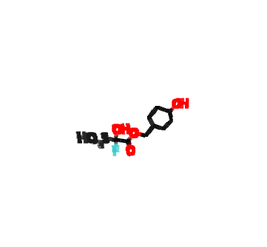 O=C(OCC1CCC(O)CC1)C(O)(F)S(=O)(=O)O